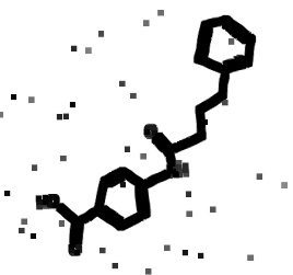 O=C(CCCc1ccccc1)Nc1ccc(C(=O)O)cc1